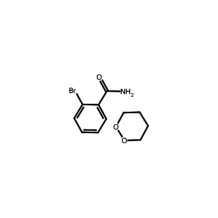 C1CCOOC1.NC(=O)c1ccccc1Br